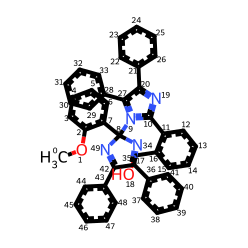 COc1ccccc1C1(n2c(-c3ccccc3CO)nc(-c3ccccc3)c2-c2ccccc2)N=C(c2ccccc2)C(c2ccccc2)=N1